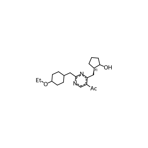 CCOC1CCC(Cc2ncc(C(C)=O)c(C[C@H]3CCCC3O)n2)CC1